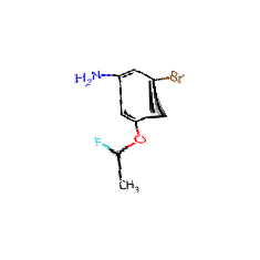 CC(F)Oc1cc(N)cc(Br)c1